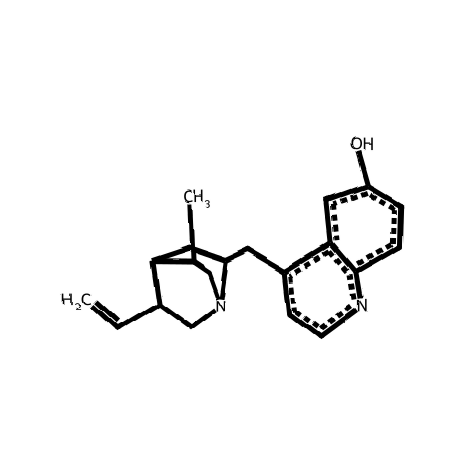 C=CC1CN2CC(C)C1CC2Cc1ccnc2ccc(O)cc12